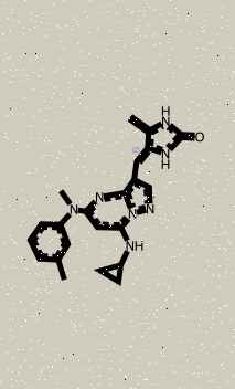 C=c1[nH]c(=O)[nH]/c1=C\c1cnn2c(NC3CC3)cc(N(C)c3cccc(C)c3)nc12